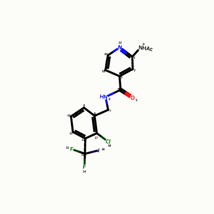 CC(=O)Nc1cc(C(=O)NCc2cccc(C(F)(F)I)c2Cl)ccn1